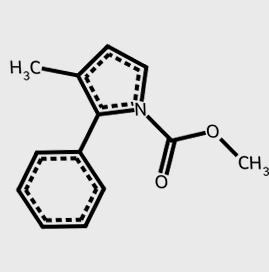 COC(=O)n1ccc(C)c1-c1ccccc1